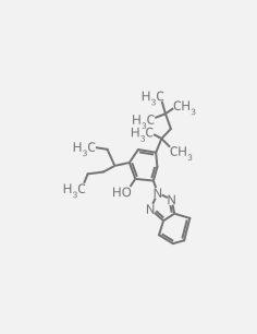 CCCC(CC)c1cc(C(C)(C)CC(C)(C)C)cc(-n2nc3ccccc3n2)c1O